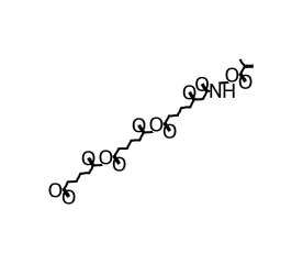 C=C(C)C(=O)OCCNC(=O)CC(=O)CCCCC(=O)OCC(=O)CCCCC(=O)OCC(=O)CCCCC(=O)OC